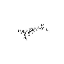 CNCCCCN1CCN(C(=O)CC(C)C)CC1